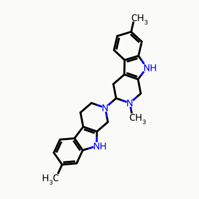 Cc1ccc2c3c([nH]c2c1)CN(C1Cc2c([nH]c4cc(C)ccc24)CN1C)CC3